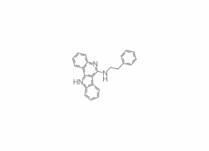 c1ccc(CCNc2nc3ccccc3c3[nH]c4ccccc4c23)cc1